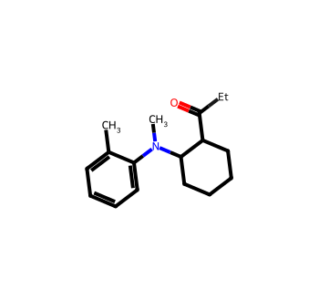 CCC(=O)C1CCCCC1N(C)c1ccccc1C